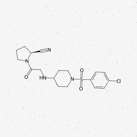 N#C[C@@H]1CCCN1C(=O)CNC1CCN(S(=O)(=O)c2ccc(Cl)cc2)CC1